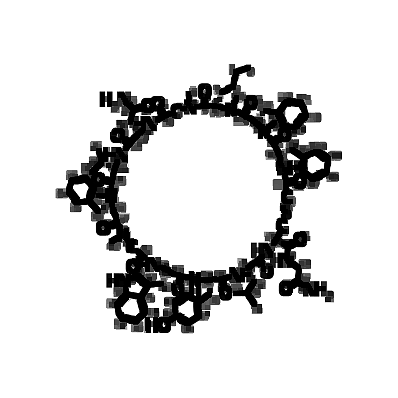 CCCC[C@H]1C(=O)N(C)CC(=O)N[C@@H](CC(N)=O)C(=O)N[C@@H](C(C)C)C(=O)N(C)[C@@H](Cc2ccccc2)C(=O)N(C)CC(=O)N[C@@H](Cc2c[nH]c3ccccc23)C(=O)N[C@@H](Cc2ccc(O)cc2)C(=O)N[C@@H](CC(C)C)C(=O)N[C@H](C(=O)NCC(N)=O)CSCC(=O)N[C@@H](Cc2ccccc2)C(=O)N(C)[C@@H](Cc2ccccc2)C(=O)N1C